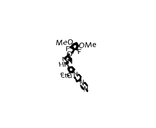 CCOc1cc(Nc2ncc(OCc3c(F)c(OC)cc(OC)c3F)cn2)ccc1N1CCC(N2CCN(C)CC2)CC1